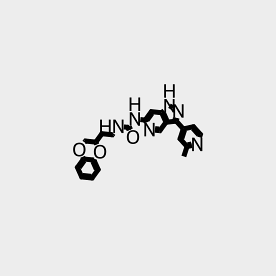 Cc1cc(-c2n[nH]c3cc(NC(=O)NCCC4COc5ccccc5O4)ncc23)ccn1